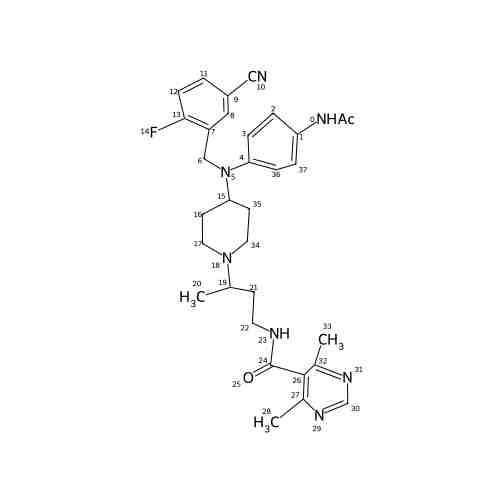 CC(=O)Nc1ccc(N(Cc2cc(C#N)ccc2F)C2CCN(C(C)CCNC(=O)c3c(C)ncnc3C)CC2)cc1